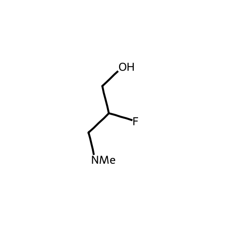 CNCC(F)CO